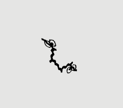 CCOC(=O)C(C)=CC=CC(C)=CC=CC=C(C)C=CC=C(C)C(=O)OCC